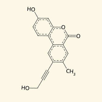 Cc1cc2c(=O)oc3cc(O)ccc3c2cc1C#CCO